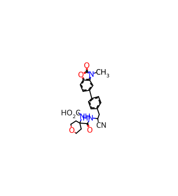 Cn1c(=O)oc2ccc(-c3ccc(CC(C#N)NC(=O)C4(NC(=O)O)CCOCC4)cc3)cc21